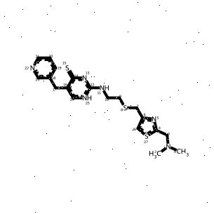 CN(C)Cc1nc(CSCCNc2nc(=S)c(Cc3cccnc3)c[nH]2)cs1